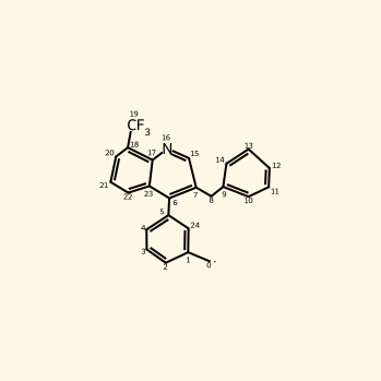 [CH2]c1cccc(-c2c(Cc3ccccc3)cnc3c(C(F)(F)F)cccc23)c1